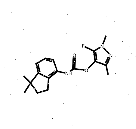 Cc1nn(C)c(F)c1OC(=O)Nc1cccc2c1CCC2(C)C